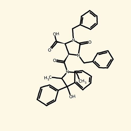 CCN(C(=O)[C@H]1[C@@H](C(=O)O)N(Cc2ccccc2)C(=O)N1Cc1ccccc1)C(C)C(O)(c1ccccc1)c1ccccc1